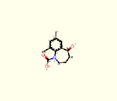 Cc1cc(C)c2c(c1)C(=O)CCCN2C(=O)O